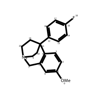 COc1ccc2c(c1)CN1CCC2(c2ccc(F)cc2)CC1